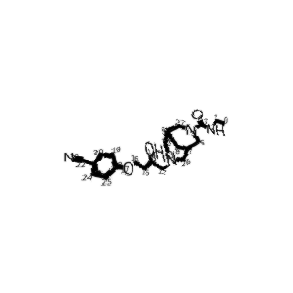 CCNC(=O)N1CC2CC(CN(CC(O)CCOc3ccc(C#N)cc3)C2)C1